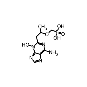 CC(Cc1nc(N)c2ncnc-2n1O)OCP(=O)(O)O